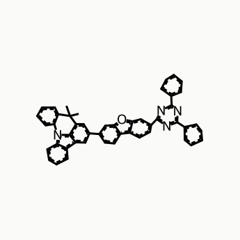 CC1(C)c2ccccc2-n2c3ccccc3c3cc(-c4ccc5c(c4)oc4cc(-c6nc(-c7ccccc7)nc(-c7ccccc7)n6)ccc45)cc1c32